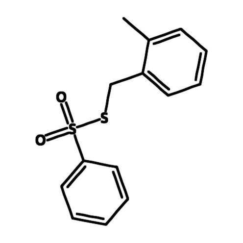 Cc1ccccc1CSS(=O)(=O)c1ccccc1